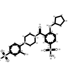 CS(=O)(=O)c1ccc(N2CCN(C(=O)c3cc(S(N)(=O)=O)ccc3OC3CCCC3)CC2)c(F)c1